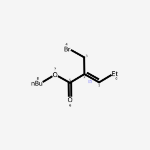 CC/C=C(\CBr)C(=O)OCCCC